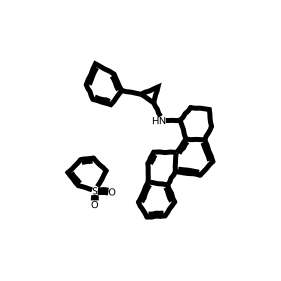 O=S1(=O)C=CC=CC1.c1ccc(C2CC2NC2CCCc3ccc4c(ccc5ccccc54)c32)cc1